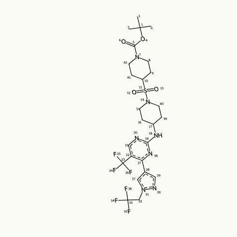 CC(C)(C)OC(=O)N1CCC(S(=O)(=O)N2CCC(Nc3ncc(C(F)(F)F)c(-c4cnn(CC(F)(F)F)c4)n3)CC2)CC1